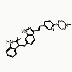 CN1CCN(c2ccc(C=Cc3n[nH]c4cc(C=C5C(=O)Nc6ccccc65)ccc34)cn2)CC1